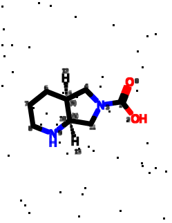 O=C(O)N1C[C@@H]2CCCN[C@@H]2C1